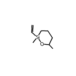 C=C[Si]1(C)CCCC(C)O1